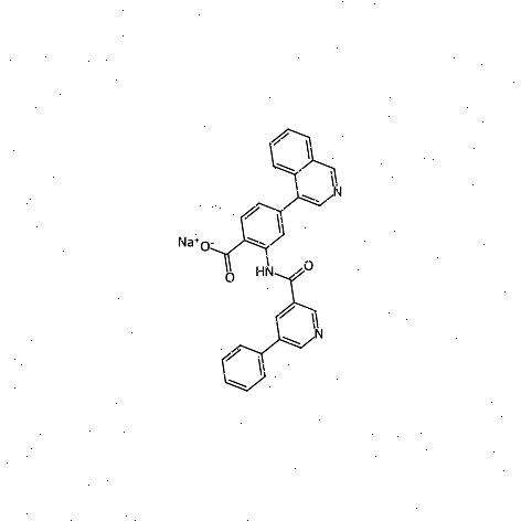 O=C(Nc1cc(-c2cncc3ccccc23)ccc1C(=O)[O-])c1cncc(-c2ccccc2)c1.[Na+]